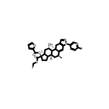 C[C@H]1C[C@@H]2C([C@@H](O)C[C@@]3(C)C2CC[C@]3(OC(=O)c2ccco2)C(=O)SCF)[C@@]2(C)Cc3cnn(-c4ccc(F)nc4)c3C=C12